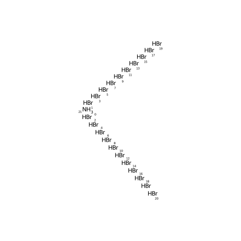 Br.Br.Br.Br.Br.Br.Br.Br.Br.Br.Br.Br.Br.Br.Br.Br.Br.Br.Br.Br.Br.N